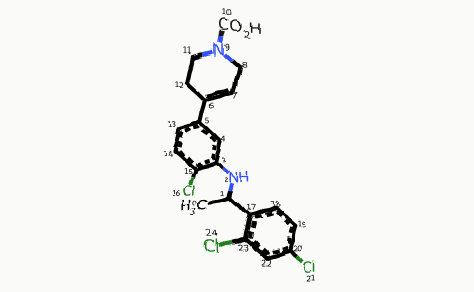 CC(Nc1cc(C2=CCN(C(=O)O)CC2)ccc1Cl)c1ccc(Cl)cc1Cl